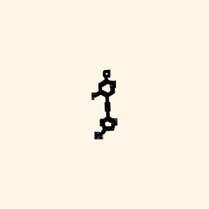 CCc1cnc(C#Cc2cnc(Cl)cc2F)s1